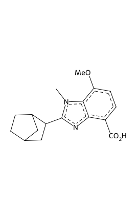 COc1ccc(C(=O)O)c2nc(C3CC4CCC3C4)n(C)c12